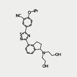 CC(C)Oc1ccc(-c2nc(-c3cccc4c3CCC4N(CCO)CCO)ns2)cc1C#N